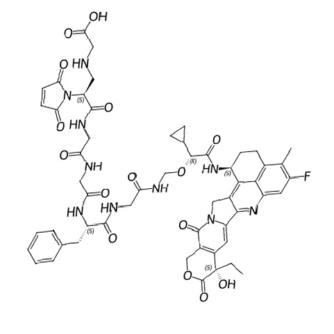 CC[C@@]1(O)C(=O)OCc2c1cc1n(c2=O)Cc2c-1nc1cc(F)c(C)c3c1c2[C@@H](NC(=O)[C@H](OCNC(=O)CNC(=O)[C@H](Cc1ccccc1)NC(=O)CNC(=O)CNC(=O)[C@H](CNCC(=O)O)N1C(=O)C=CC1=O)C1CC1)CC3